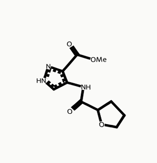 COC(=O)c1n[nH]cc1NC(=O)C1CCCO1